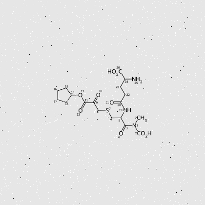 CN(C(=O)O)C(=O)C(CSCC(=O)C(=O)OC1CCCC1)NC(=O)CCC(N)C(=O)O